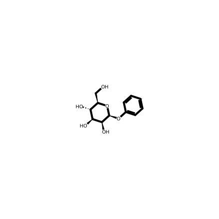 OC[C@H]1O[C@@H](Oc2cc[c]cc2)[C@@H](O)[C@@H](O)[C@@H]1O